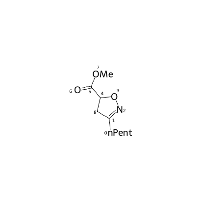 CCCCCC1=NOC(C(=O)OC)C1